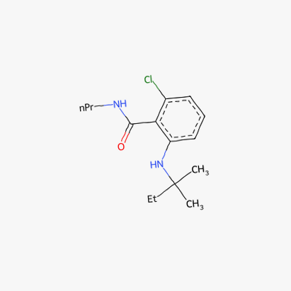 CCCNC(=O)c1c(Cl)cccc1NC(C)(C)CC